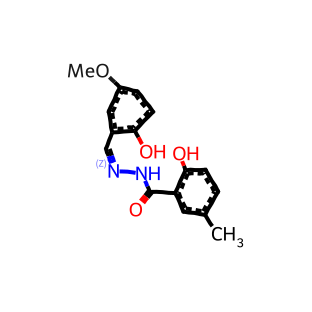 COc1ccc(O)c(/C=N\NC(=O)c2cc(C)ccc2O)c1